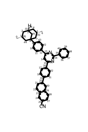 C[C@@H]1C[C@@H]2C[C@H](C)CC(c3ccc(-c4cc(-c5ccc(-c6ccc7cc(C#N)ccc7c6)cc5)nc(-c5ccccc5)n4)cc3)(C1)C2